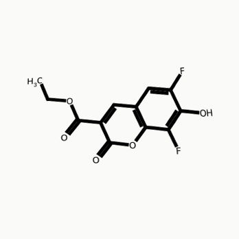 CCOC(=O)c1cc2cc(F)c(O)c(F)c2oc1=O